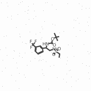 CCS(=O)(=O)NCC(NC(=O)OC(C)(C)C)c1cccc(C(F)(F)F)c1